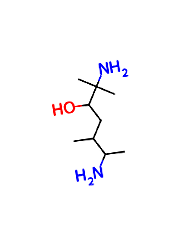 CC(N)C(C)CC(O)C(C)(C)N